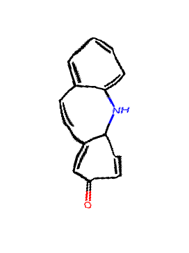 O=C1C=CC2Nc3ccccc3C=CC2=C1